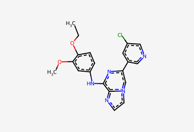 CCOc1ccc(Nc2nc(-c3cncc(Cl)c3)cn3ccnc23)cc1OC